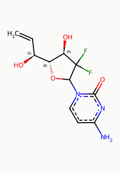 C=C[C@H](O)[C@H]1OC(n2ccc(N)nc2=O)C(F)(F)[C@@H]1O